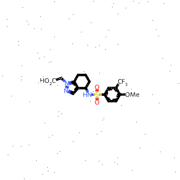 COc1ccc(S(=O)(=O)NC2CCCc3c2cnn3CC(=O)O)cc1C(F)(F)F